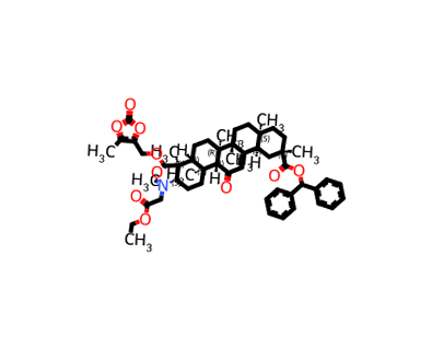 CCOC(=O)CN(C)[C@H]1CC[C@@]2(C)[C@@H](CC[C@]3(C)[C@@H]2C(=O)C=C2[C@@H]4C[C@@](C)(C(=O)OC(c5ccccc5)c5ccccc5)CC[C@]4(C)CC[C@]23C)[C@]1(C)C(=O)OCc1oc(=O)oc1C